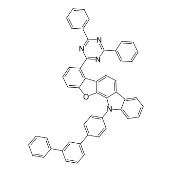 c1ccc(-c2cccc(-c3ccc(-n4c5ccccc5c5ccc6c(oc7cccc(-c8nc(-c9ccccc9)nc(-c9ccccc9)n8)c76)c54)cc3)c2)cc1